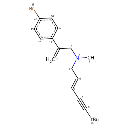 C=C(CN(C)CC=CC#CC(C)(C)C)c1ccc(Br)cc1